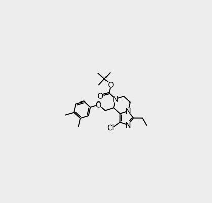 CCc1nc(Cl)c2n1CCN(C(=O)OC(C)(C)C)C2COc1ccc(C)c(C)c1